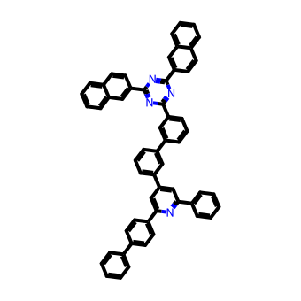 c1ccc(-c2ccc(-c3cc(-c4cccc(-c5cccc(-c6nc(-c7ccc8ccccc8c7)nc(-c7ccc8ccccc8c7)n6)c5)c4)cc(-c4ccccc4)n3)cc2)cc1